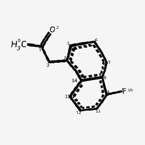 CC(=O)Cc1cccc2c(F)cccc12